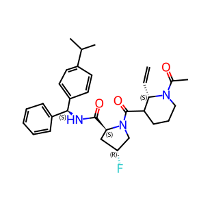 C=C[C@H]1C(C(=O)N2C[C@H](F)C[C@H]2C(=O)N[C@@H](c2ccccc2)c2ccc(C(C)C)cc2)CCCN1C(C)=O